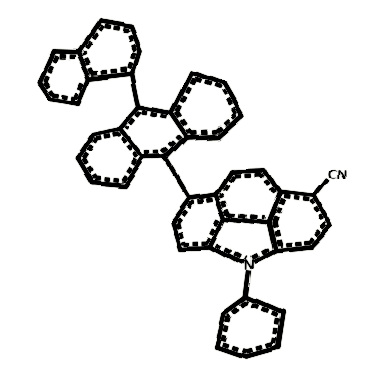 N#Cc1ccc2c3c1ccc1c(-c4c5ccccc5c(-c5cccc6ccccc56)c5ccccc45)ccc(c13)n2-c1ccccc1